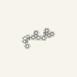 C1=CC2C=Cc3ccc(-c4ccccc4)nc3C2N=C1c1ccc2c3c(c4ccccc4c2c1)CC(C1=CCCC(c2nc4ccccc4c4c2ccc2ccccc24)=C1)C=C3